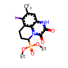 CCOP(=O)(OCC)C1CCc2c(I)c(C(F)(F)F)cc3[nH]c(=O)c(=O)n1c23